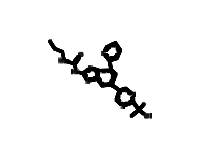 CCCNC(=O)Nc1nc2cc(-c3cnc(C(C)(C)O)nc3)cc(-c3ccccn3)c2s1